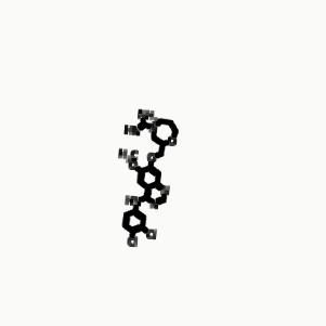 COc1cc2c(Nc3ccc(Cl)c(Cl)c3)ncnc2cc1OCC1CN(C(=N)N)CCCO1